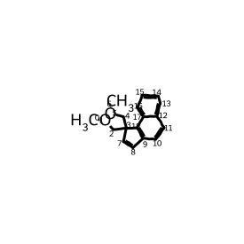 COCC1(COC)C=Cc2ccc3ccccc3c21